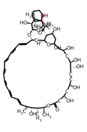 C[C@@H]1[C@H](O)[C@@H](C)/C=C/C=C/C=C/C=C/C=C/C=C/C=C/[C@H](O[C@@H]2O[C@H](C)[C@@H](O)[C@H](N)[C@@H]2O)C[C@@H]2O[C@](O)(C[C@@H](O)C[C@@H](O)[C@H](O)CC[C@@H](O)C[C@@H](O)CC(=O)O[C@H]1C)C[C@H](O)[C@H]2C(=O)N[C@@H]1CCCC[C@H]1N